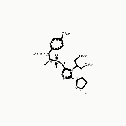 COCC(COC)n1c(NS(=O)(=O)[C@@H](C)[C@H](OC)c2cnc(OC)cn2)nnc1[C@@H]1CC[C@H](C)O1